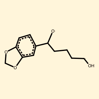 [O]C(CCC[CH]O)c1ccc2c(c1)OCO2